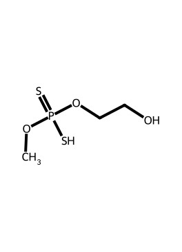 COP(=S)(S)OCCO